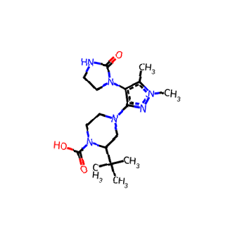 Cc1c(N2CCNC2=O)c(N2CCN(C(=O)O)C(C(C)(C)C)C2)nn1C